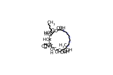 C1COCCN1.CCCCCC(O)C1C(=O)OC(C)C(O)/C=C/C=C/C=C/C=C/C=C(\C)C(O)C(O)C(O)CC(O)CC(O)CC(O)CC(O)CC1O